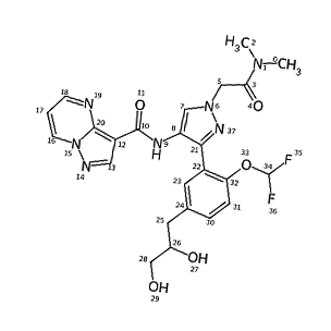 CN(C)C(=O)Cn1cc(NC(=O)c2cnn3cccnc23)c(-c2cc(CC(O)CO)ccc2OC(F)F)n1